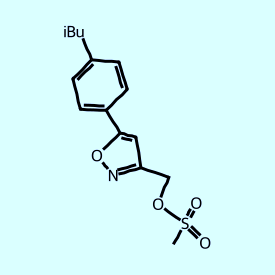 CCC(C)c1ccc(-c2cc(COS(C)(=O)=O)no2)cc1